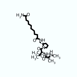 CN[C@@H](C)C(=O)N[C@H](C(=O)N1CCC[C@H]1CNC(=O)CCCCCCCCC(N)=O)C(C)(C)C